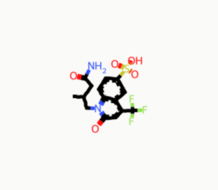 CC(CC(N)=O)Cn1c(=O)cc(C(F)(F)F)c2cc(S(=O)(=O)O)ccc21